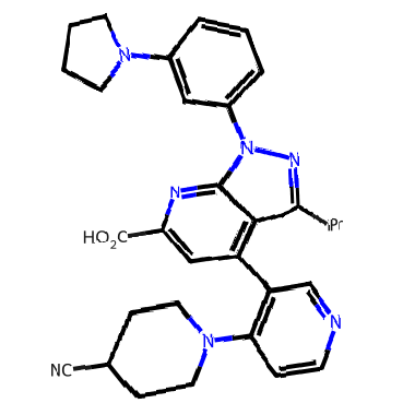 CC(C)c1nn(-c2cccc(N3CCCC3)c2)c2nc(C(=O)O)cc(-c3cnccc3N3CCC(C#N)CC3)c12